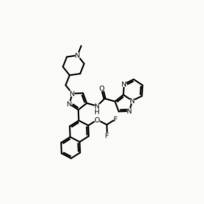 CN1CCC(Cn2cc(NC(=O)c3cnn4cccnc34)c(-c3cc4ccccc4cc3OC(F)F)n2)CC1